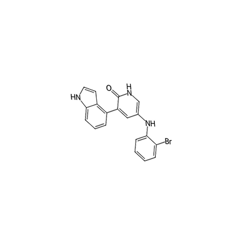 O=c1[nH]cc(Nc2ccccc2Br)cc1-c1cccc2[nH]ccc12